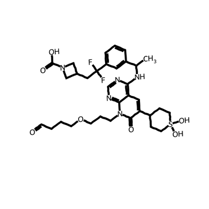 CC(Nc1ncnc2c1cc(C1CCS(O)(O)CC1)c(=O)n2CCCOCCCC=O)c1cccc(C(F)(F)CC2CN(C(=O)O)C2)c1